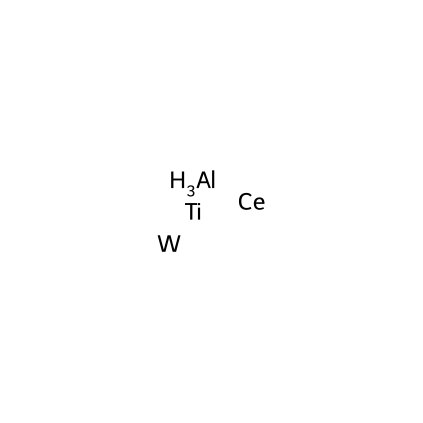 [AlH3].[Ce].[Ti].[W]